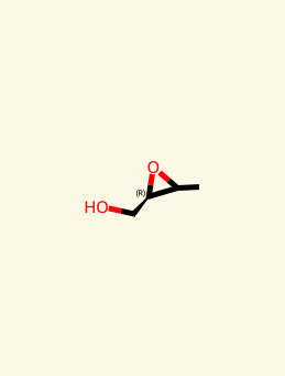 CC1O[C@@H]1CO